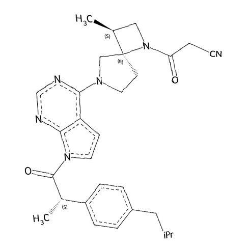 CC(C)Cc1ccc([C@H](C)C(=O)n2ccc3c(N4CC[C@]5(C4)[C@@H](C)CN5C(=O)CC#N)ncnc32)cc1